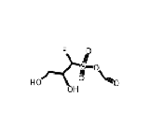 O=COS(=O)(=O)C(F)C(O)CO